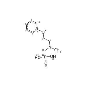 CN(CCOc1ccccc1)CP(=O)(O)O